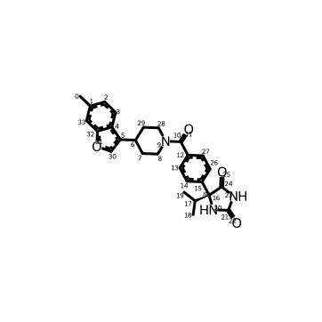 Cc1ccc2c(C3CCN(C(=O)c4ccc([C@@]5(C(C)C)NC(=O)NC5=O)cc4)CC3)coc2c1